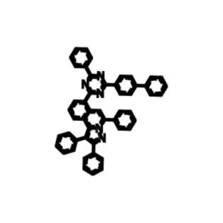 c1ccc(-c2ccc(-c3nc(-c4ccccc4)nc(-c4cccc5c4cc(-c4ccccc4)n4nc(-c6ccccc6)c(-c6ccccc6)c54)n3)cc2)cc1